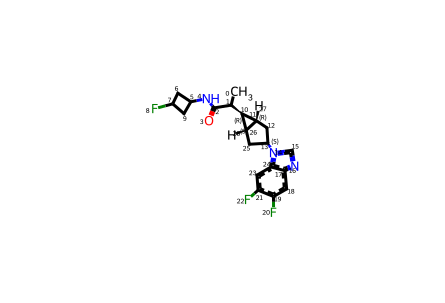 CC(C(=O)NC1CC(F)C1)[C@H]1[C@@H]2C[C@@H](n3cnc4cc(F)c(F)cc43)C[C@@H]21